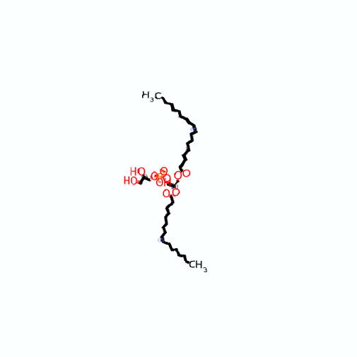 CCCCCCC/C=C\CCCCCCCC(=O)O[C@H](COC(=O)CCCCCCC/C=C\CCCCCCCCC)COP(=O)(O)OC[C@@H](O)CO